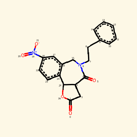 O=C1CC2C(=O)N(CCc3ccccc3)Cc3cc([N+](=O)[O-])ccc3C2O1